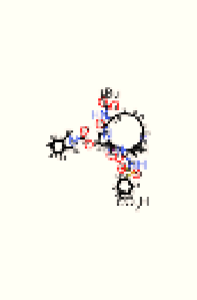 CC(C)(C)OC(=O)N[C@H]1CCCCC/C=C\[C@@H]2C[C@@]2(C(=O)NS(=O)(=O)c2ccc(C(=O)O)cc2)NC(=O)[C@@H]2C[C@@H](OC(=O)N3Cc4ccccc4C3)CN2C1=O